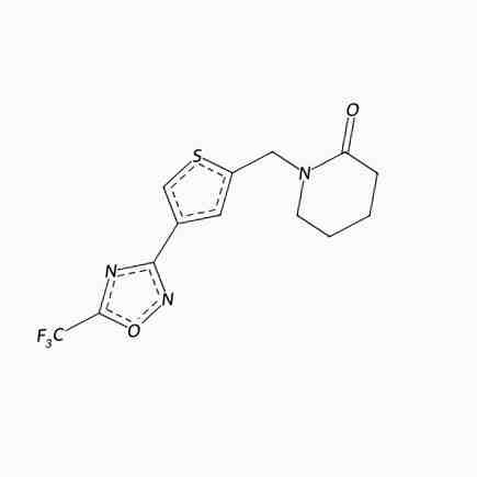 O=C1CCCCN1Cc1cc(-c2noc(C(F)(F)F)n2)cs1